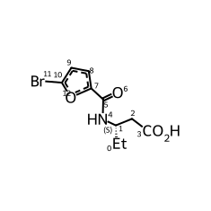 CC[C@@H](CC(=O)O)NC(=O)c1ccc(Br)o1